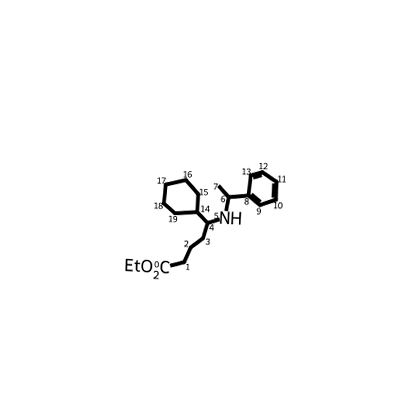 CCOC(=O)CCCC(NC(C)c1ccccc1)C1CCCCC1